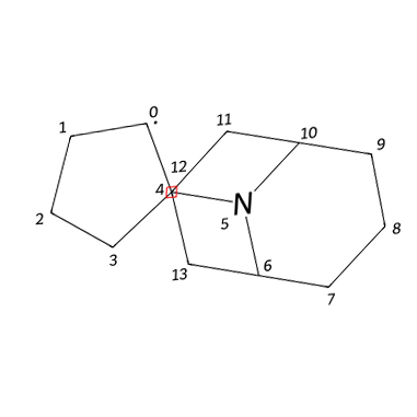 [CH]1CCCC1N1C2CCCC1CCC2